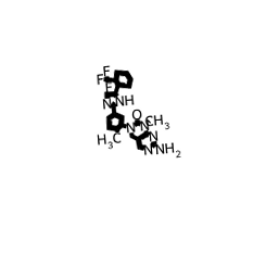 Cc1ccc(-c2ncc(-c3ccccc3C(F)(F)F)[nH]2)cc1N1Cc2cnc(N)nc2N(C)C1=O